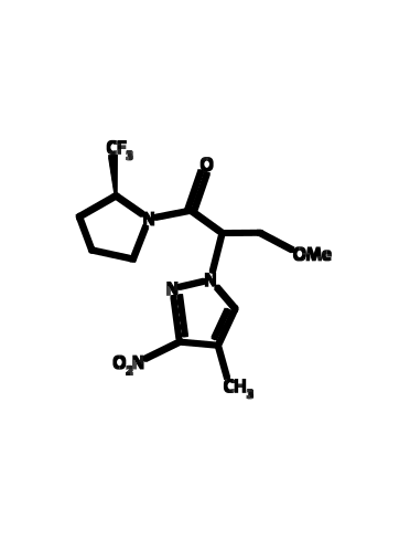 COCC(C(=O)N1CCC[C@H]1C(F)(F)F)n1cc(C)c([N+](=O)[O-])n1